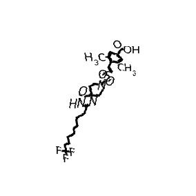 Cc1cc(C(=O)O)cc(C)c1/C=C/S(=O)(=O)N1CCC2(CC1)N=C(CCCCCCCCC(F)(F)F)NC2=O